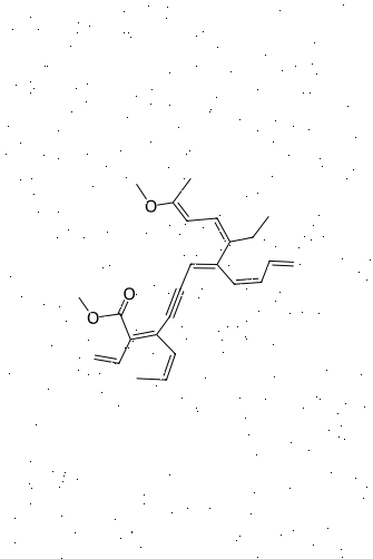 C=C\C=C/C(=C\C#CC(/C=C\C)=C(/C=C)C(=O)OC)C(=C\C=C(/C)OC)/CC